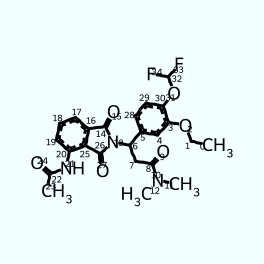 CCOc1cc(C(CC(=O)N(C)C)N2C(=O)c3cccc(NC(C)=O)c3C2=O)ccc1OC(F)F